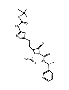 C[C@@H](NC(=O)N1C(=O)C(CCc2cnc(NC(=O)OC(C)(C)C)s2)[C@H]1C(=O)O)c1ccccc1